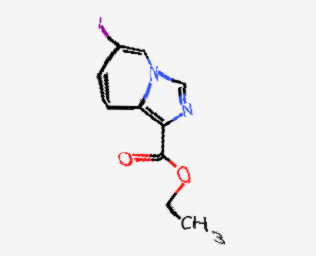 CCOC(=O)c1ncn2cc(I)ccc12